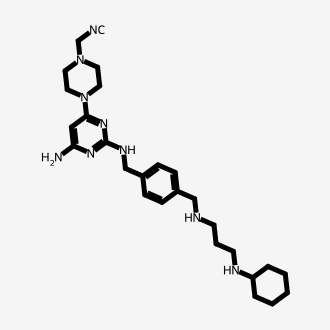 [C-]#[N+]CN1CCN(c2cc(N)nc(NCc3ccc(CNCCCNC4CCCCC4)cc3)n2)CC1